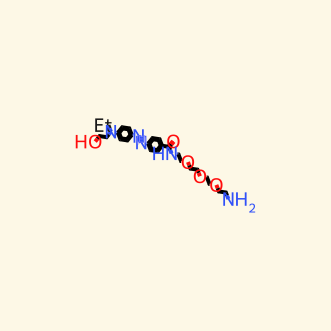 CCN(CCO)c1ccc(/N=N/c2ccc(C(=O)NCCOCCOCCOCCN)cc2)cc1